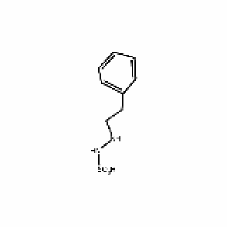 O=S(=O)(O)NNCCc1ccccc1